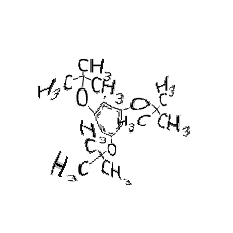 CC(C)(C)Oc1[c]c(OC(C)(C)C)cc(OC(C)(C)C)c1